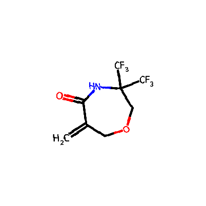 C=C1COCC(C(F)(F)F)(C(F)(F)F)NC1=O